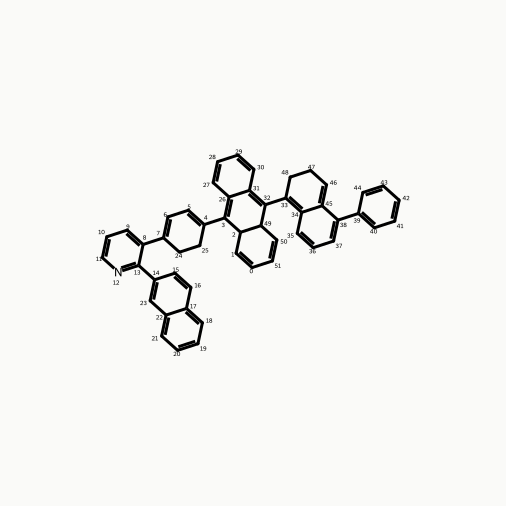 C1=CC2C(C3=CC=C(c4cccnc4-c4ccc5ccccc5c4)CC3)=c3ccccc3=C(C3=c4cccc(-c5ccccc5)c4=CCC3)C2C=C1